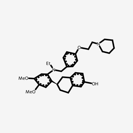 CCN(Cc1ccc(OCCN2CCCCC2)cc1)c1cc(OC)c(OC)cc1[C@@H]1CCc2cc(O)ccc2C1